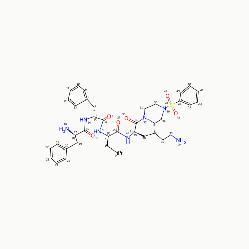 CC(C)C[C@@H](NC(=O)[C@@H](Cc1ccccc1)NC(=O)[C@H](N)Cc1ccccc1)C(=O)N[C@H](CCCCN)C(=O)N1CCN(S(=O)(=O)c2ccccc2)CC1